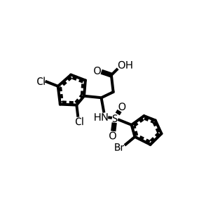 O=C(O)CC(NS(=O)(=O)c1ccccc1Br)c1ccc(Cl)cc1Cl